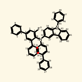 Fc1cc(-c2ccccc2)cc(-c2ccccc2)c1N(c1ccc(-c2ccccc2)cc1)c1ccc2c(c1)c1ccccc1n2-c1ccccc1